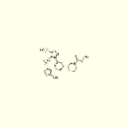 Cn1cc([C@@H]2C[C@H]2c2c(C(=O)O)cnn2-c2cccc(C3CCCN(C(=O)OC(C)(C)C)C3)c2)nn1